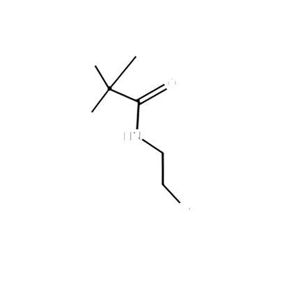 CC(C)(C)C(=O)NCC[O]